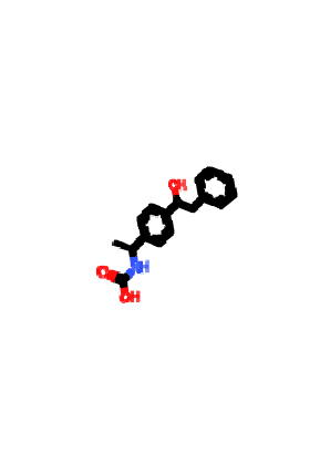 C[C@H](NC(=O)O)c1ccc(C(O)Cc2ccccc2)cc1